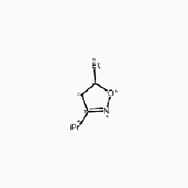 CCC1CC(C(C)C)=NO1